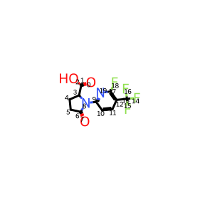 O=C(O)C1CCC(=O)N1c1ccc(C(F)(F)F)c(F)n1